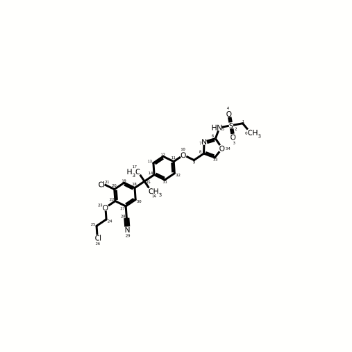 CCS(=O)(=O)Nc1nc(COc2ccc(C(C)(C)c3cc(Cl)c(OCCCl)c(C#N)c3)cc2)co1